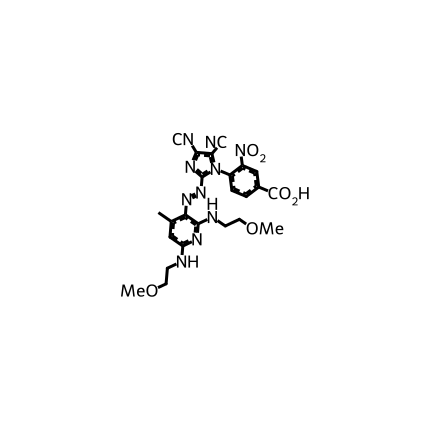 [C-]#[N+]c1nc(N=Nc2c(C)cc(NCCOC)nc2NCCOC)n(-c2ccc(C(=O)O)cc2[N+](=O)[O-])c1[N+]#[C-]